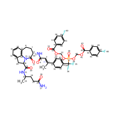 C/C(=C\C(=O)N[C@H]1CCc2cccc3c2N(C1=O)C(C(=O)NC(C)CCC(N)=O)C3)c1ccc(C(F)(F)P(=O)(OCOC(=O)c2ccc(F)cc2)OCOC(=O)c2ccc(F)cc2)cc1